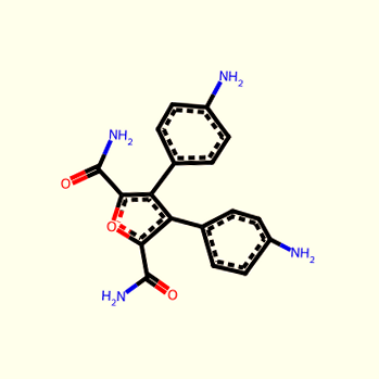 NC(=O)c1oc(C(N)=O)c(-c2ccc(N)cc2)c1-c1ccc(N)cc1